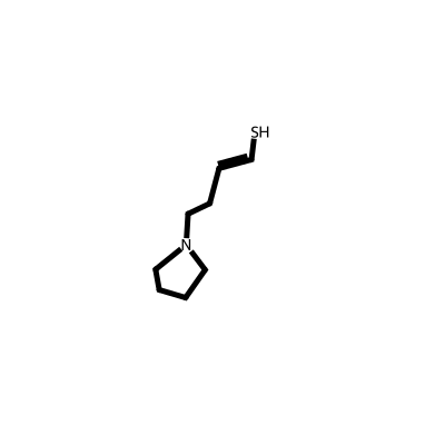 S/C=C/CCN1CCCC1